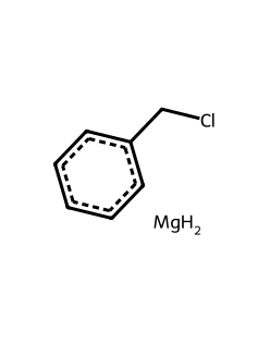 ClCc1ccccc1.[MgH2]